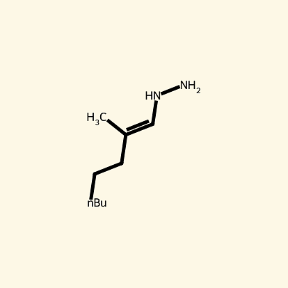 CCCCCC/C(C)=C/NN